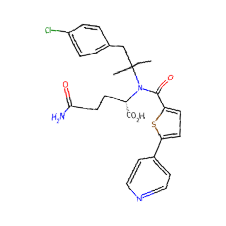 CC(C)(Cc1ccc(Cl)cc1)N(C(=O)c1ccc(-c2ccncc2)s1)[C@@H](CCC(N)=O)C(=O)O